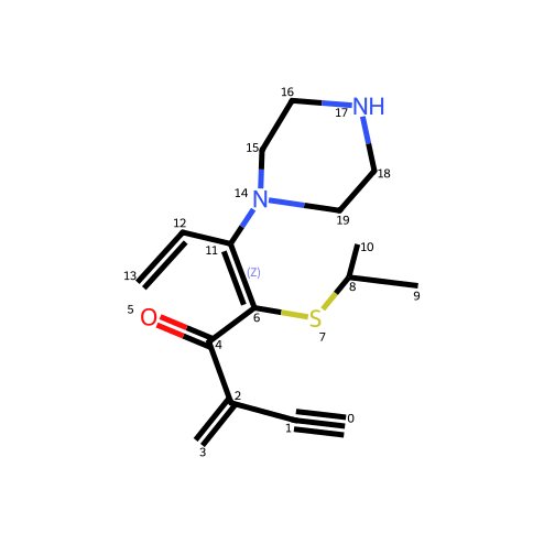 C#CC(=C)C(=O)/C(SC(C)C)=C(\C=C)N1CCNCC1